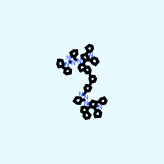 c1cc(-c2ccc(-c3nc(-n4c5ccc6ccccc6c5c5c6c7ccccc7n7c8ccccc8c(cc54)c67)c4ccccc4n3)cc2)cc(-c2ccc3c(ccc4c3c3c5c6ccccc6n6c7ccccc7c(cc3n4-c3nc(-n4c7ccccc7c7ccccc74)nc4ccccc34)c56)c2)c1